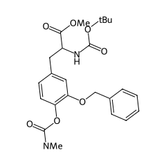 CNC(=O)Oc1ccc(CC(NC(=O)OC(C)(C)C)C(=O)OC)cc1OCc1ccccc1